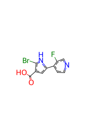 O=C(O)c1cc(-c2ccncc2F)[nH]c1Br